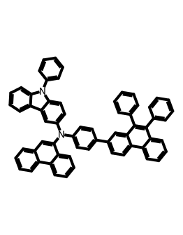 c1ccc(-c2c(-c3ccccc3)c3cc(-c4ccc(N(c5ccc6c(c5)c5ccccc5n6-c5ccccc5)c5cc6ccccc6c6ccccc56)cc4)ccc3c3ccccc23)cc1